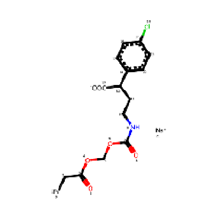 CC(C)CC(=O)OCOC(=O)NCCC(C(=O)[O-])c1ccc(Cl)cc1.[Na+]